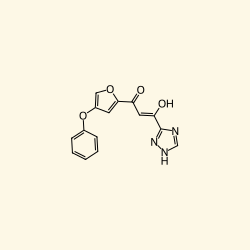 O=C(C=C(O)c1nc[nH]n1)c1cc(Oc2ccccc2)co1